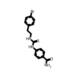 NC(=O)c1ccc(NC(=S)NCCc2ccc(Br)cc2)cc1